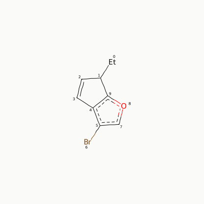 CCC1C=Cc2c(Br)coc21